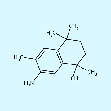 Cc1cc2c(cc1N)C(C)(C)CCC2(C)C